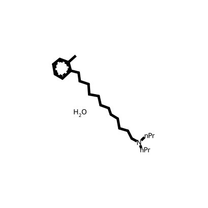 CCCN(CCC)CCCCCCCCCCCCc1ccccc1C.O